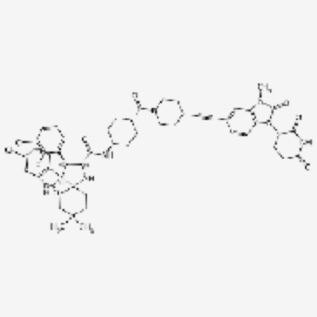 Cn1c(=O)n(C2CCC(=O)NC2=O)c2ccc(C#CC3CCN(C(=O)[C@H]4CC[C@H](NC(=O)[C@@H]5NC6(CCC(C)(C)CC6)[C@@]6(C(=O)Nc7cc(Cl)ccc76)[C@H]5c5cccc(Cl)c5F)CC4)CC3)cc21